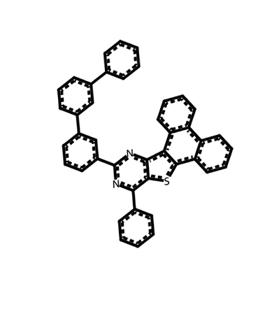 c1ccc(-c2cccc(-c3cccc(-c4nc(-c5ccccc5)c5sc6c7ccccc7c7ccccc7c6c5n4)c3)c2)cc1